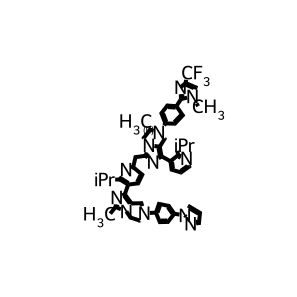 Cc1nc(-c2ccc(Cc3nc(-c4cccnc4C(C)C)c4n3C[C@@H](C)N(c3ccc(-c5nc(C(F)(F)F)cn5C)cc3)C4)nc2C(C)C)c2n1CCN(c1ccc(-n3cccn3)cc1)C2